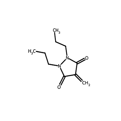 C=C1C(=O)N(CCC)N(CCC)C1=O